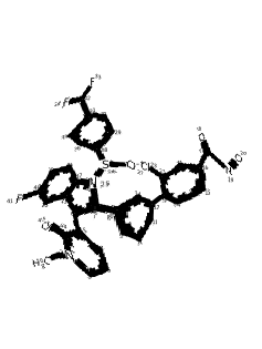 Cn1cccc(-c2c(-c3cccc(-c4ccc(C(=O)N=O)cc4Cl)c3)n([S+]([O-])c3ccc(C(F)F)cc3)c3ccc(F)cc23)c1=O